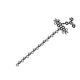 CCC(CC)N1C(=O)c2ccc3c4c(OCCOCCOCCOCCOCCOCCOCCOCCOCCOCCOCCOCCOCCOCCOCCOCCOCCOC)cc5c6c(ccc(c7c(C#Cc8ccc(-c9cc(-c%10ccccn%10)nc(-c%10ccccn%10)c9)cc8)cc(c2c37)C1=O)c64)C(=O)N(C(CC)CC)C5=O